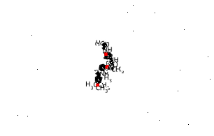 Cc1c(NC(=O)c2ccc(C(C)(C)C)cc2)cccc1-c1cn(C)c(=O)c(Nc2ccc(CNCC(=O)O)cc2)n1